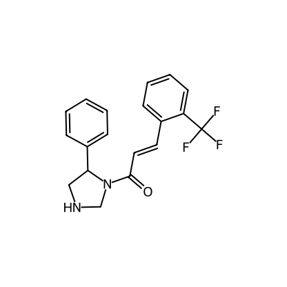 O=C(C=Cc1ccccc1C(F)(F)F)N1CNCC1c1ccccc1